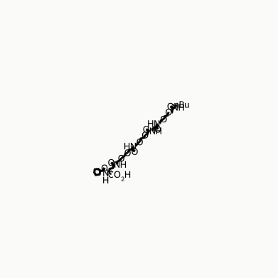 CCCCNC(=O)COCCOCCNC(=O)CNC(=O)COCCOCCNC(=O)COCCOCCNC(=O)CC[C@H](NC(=O)C1CCCCC1)C(=O)O